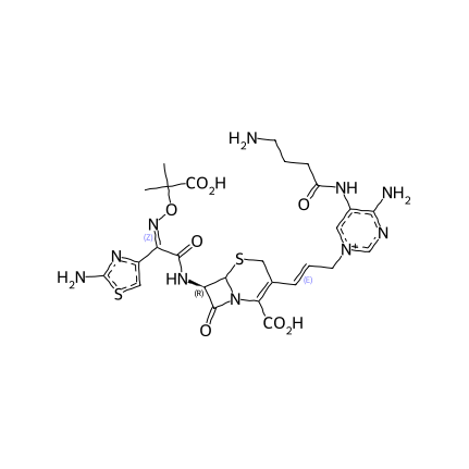 CC(C)(O/N=C(\C(=O)N[C@@H]1C(=O)N2C(C(=O)O)=C(/C=C/C[n+]3cnc(N)c(NC(=O)CCCN)c3)CSC12)c1csc(N)n1)C(=O)O